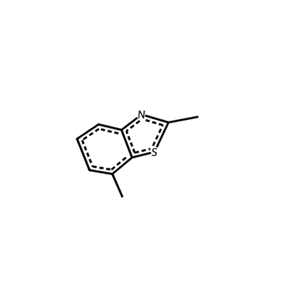 Cc1nc2cccc(C)c2s1